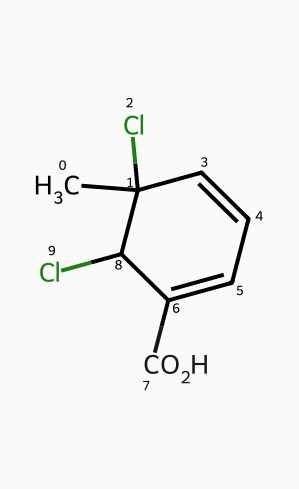 CC1(Cl)C=CC=C(C(=O)O)C1Cl